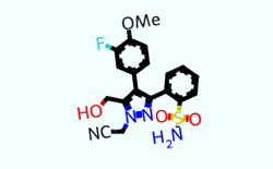 COc1ccc(-c2c(-c3ccccc3S(N)(=O)=O)nn(CC#N)c2CO)cc1F